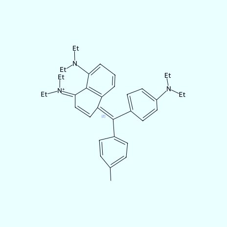 CCN(CC)c1ccc(/C(=C2/C=CC(=[N+](CC)CC)c3c2cccc3N(CC)CC)c2ccc(C)cc2)cc1